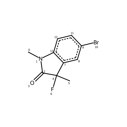 CN1C(=O)C(C)(F)c2cc(Br)ccc21